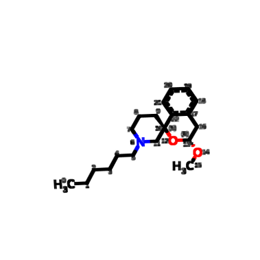 CCCCCCN1CCC[C@]2(C1)O[C@@H](OC)Cc1ccccc12